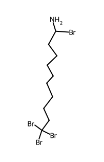 NC(Br)CCCCCCCCC(Br)(Br)Br